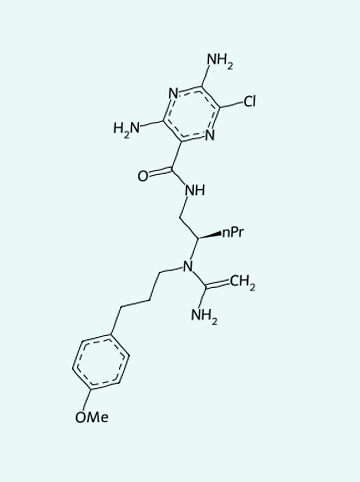 C=C(N)N(CCCc1ccc(OC)cc1)[C@H](CCC)CNC(=O)c1nc(Cl)c(N)nc1N